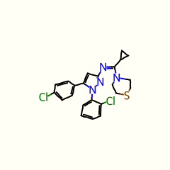 Clc1ccc(-c2cc(N=C(C3CC3)N3CCSCC3)nn2-c2ccccc2Cl)cc1